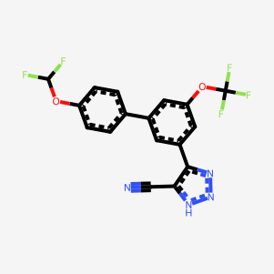 N#Cc1[nH]nnc1-c1cc(OC(F)(F)F)cc(-c2ccc(OC(F)F)cc2)c1